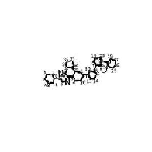 c1ccc(-c2cnc3c4ccc(-c5cccc(-c6cccc7c6oc6ccccc67)c5)cc4c4ccccc4c3n2)cc1